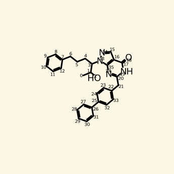 CC(O)C(CCCc1ccccc1)n1ncc2c(=O)[nH]c(Cc3ccc(-c4ccccc4)cc3)nc21